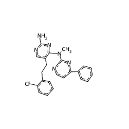 CN(c1nccc(-c2ccccc2)n1)c1nc(N)ncc1CCc1ccccc1Cl